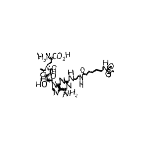 CC1O[C@@H]2[C@H](OC(n3cnc4c(N)nc(NCCNC(=O)CCCCCNS(C)(=O)=O)nc43)[C@@H]2O)C(=O)N1CC[C@H](N)C(=O)O